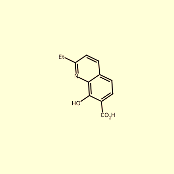 CCc1ccc2ccc(C(=O)O)c(O)c2n1